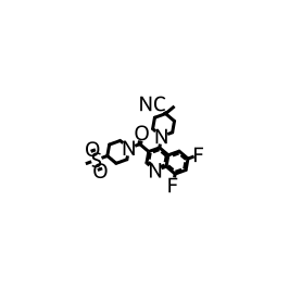 CC1(C#N)CCN(c2c(C(=O)N3CCC(S(C)(=O)=O)CC3)cnc3c(F)cc(F)cc23)CC1